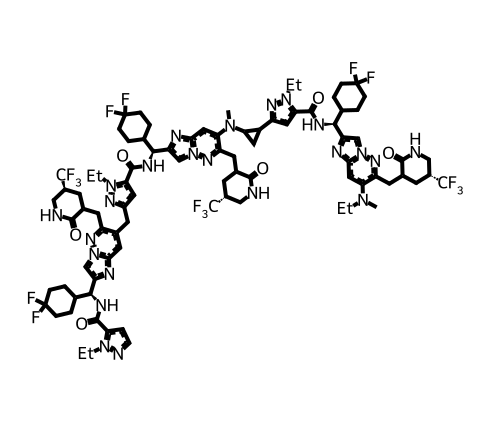 CCN(C)c1cc2nc([C@@H](NC(=O)c3cc(C4CC4N(C)c4cc5nc([C@@H](NC(=O)c6cc(Cc7cc8nc([C@@H](NC(=O)c9ccnn9CC)C9CCC(F)(F)CC9)cn8nc7CC7C[C@H](C(F)(F)F)CNC7=O)nn6CC)C6CCC(F)(F)CC6)cn5nc4CC4C[C@@H](C(F)(F)F)CNC4=O)nn3CC)C3CCC(F)(F)CC3)cn2nc1CC1C[C@@H](C(F)(F)F)CNC1=O